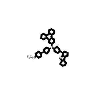 FC(F)(F)Oc1ccc(-c2ccc(N(c3ccc(-c4cccc5c4oc4ccccc45)cc3)c3ccc4c5ccccc5c5ccccc5c4c3)cc2)cc1